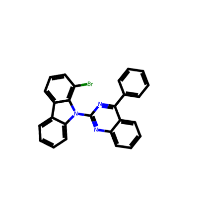 Brc1cccc2c3ccccc3n(-c3nc(-c4ccccc4)c4ccccc4n3)c12